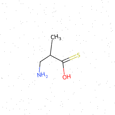 CC(CN)C(O)=S